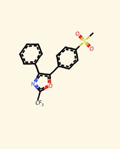 CS(=O)(=O)c1ccc(-c2oc(C(F)(F)F)nc2-c2ccccc2)cc1